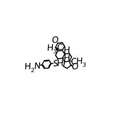 C[C@]12CCC(=O)C=C1CC(Sc1ccc(N)cc1)[C@@H]1[C@@H]2CC[C@]2(C)C(=O)CC[C@@H]12